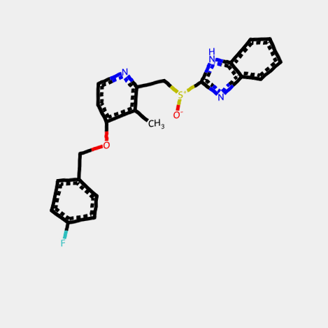 Cc1c(OCc2ccc(F)cc2)ccnc1C[S+]([O-])c1nc2ccccc2[nH]1